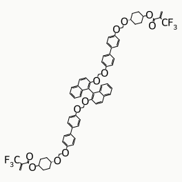 C=C(C(=O)O[C@H]1CC[C@H](OCOc2ccc(-c3ccc(OCOc4ccc5ccccc5c4-c4c(OCOc5ccc(-c6ccc(OCO[C@H]7CC[C@H](OC(=O)C(=C)C(F)(F)F)CC7)cc6)cc5)ccc5ccccc45)cc3)cc2)CC1)C(F)(F)F